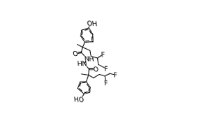 CC(CCC(F)CF)(C(=O)NNC(=O)C(C)(CCC(F)CF)c1ccc(O)cc1)c1ccc(O)cc1